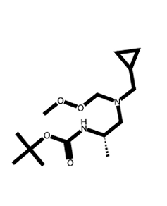 COOCN(CC1CC1)C[C@H](C)NC(=O)OC(C)(C)C